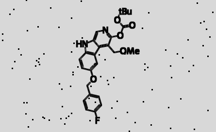 COCc1c(OC(=O)OC(C)(C)C)ncc2[nH]c3ccc(OCc4ccc(F)cc4)cc3c12